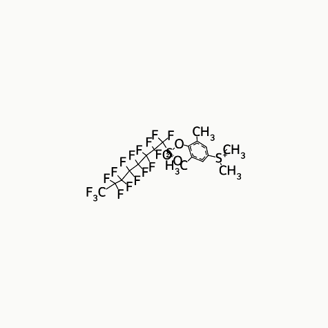 Cc1cc([S+](C)C)cc(C)c1OS(=O)(=O)C(F)(F)C(F)(F)C(F)(F)C(F)(F)C(F)(F)C(F)(F)C(F)(F)C(F)(F)F